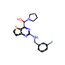 OC(c1nc(NCc2cccc(F)c2)nc2ccsc12)N1CCCC1